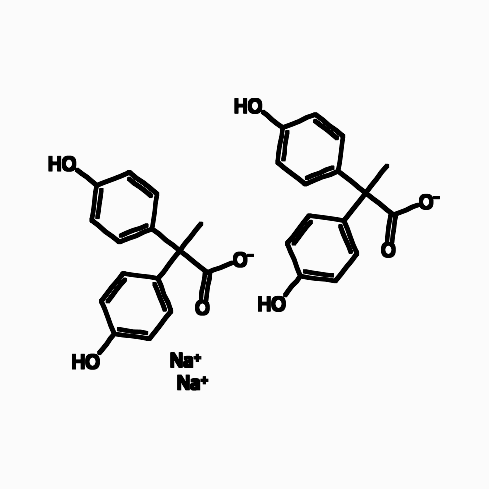 CC(C(=O)[O-])(c1ccc(O)cc1)c1ccc(O)cc1.CC(C(=O)[O-])(c1ccc(O)cc1)c1ccc(O)cc1.[Na+].[Na+]